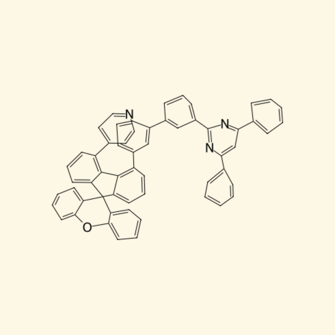 c1ccc(-c2cc(-c3ccccc3)nc(-c3cccc(-c4cccc(-c5cccc6c5-c5c(-c7ccncc7)cccc5C65c6ccccc6Oc6ccccc65)c4)c3)n2)cc1